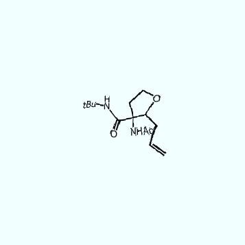 C=CCC1OCCC1(NC(C)=O)C(=O)NC(C)(C)C